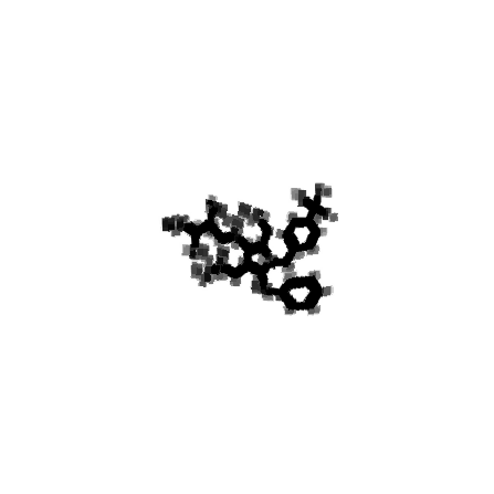 CCc1c(NC[C@H](N)C(C)C)c(CNC)c(Nc2ccccc2)n1Cc1ccc(C(F)(F)F)cc1